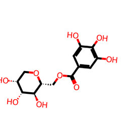 O=C(OC[C@H]1OC[C@@H](O)[C@@H](O)[C@@H]1O)c1cc(O)c(O)c(O)c1